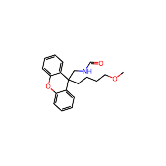 COCCCCC1(CNC=O)c2ccccc2Oc2ccccc21